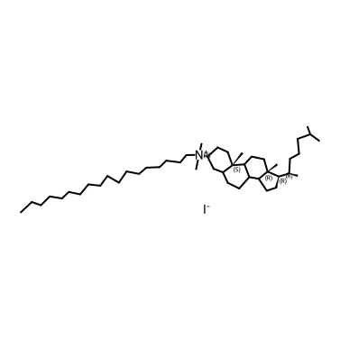 CCCCCCCCCCCCCCCCCC[N+](C)(C)[C@@H]1CC[C@@]2(C)C(CCC3C2CC[C@@]2(C)C3CC[C@@H]2[C@H](C)CCCC(C)C)C1.[I-]